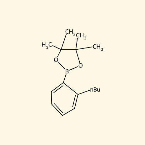 CCCCc1ccccc1B1OC(C)(C)C(C)(C)O1